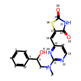 CN(CC(O)c1ccccc1)c1nccc(C=C2SC(=O)NC2=O)n1